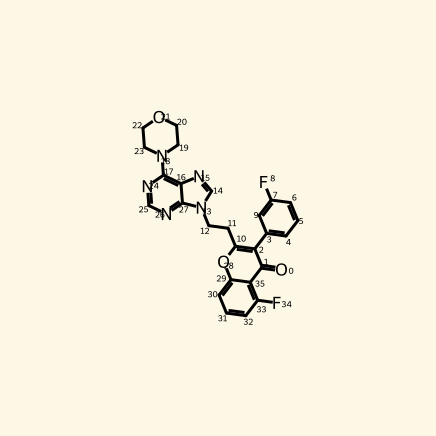 O=c1c(-c2cccc(F)c2)c(CCn2cnc3c(N4CCOCC4)ncnc32)oc2cccc(F)c12